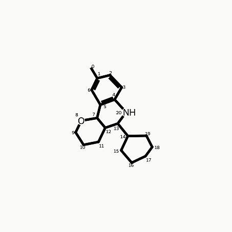 Cc1ccc2c(c1)C1OCCCC1C(C1CCCCC1)N2